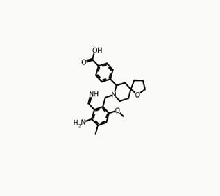 COc1cc(C)c(N)c(C=N)c1CN1CCC2(CCCO2)CC1c1ccc(C(=O)O)cc1